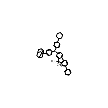 CC1(C)c2cc(-c3ccccc3)ccc2-c2ccc(N(c3ccc(C4CCCCC4)cc3)c3ccc(C45CC6CC(CC(C6)C4)C5)cc3)cc21